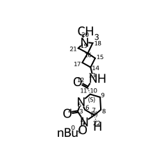 CCCCON1C(=O)N2C[C@H]1CC[C@H]2C(=O)NC1CC2(C1)CN(C)C2